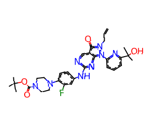 C=CCn1c(=O)c2cnc(Nc3ccc(N4CCN(C(=O)OC(C)(C)C)CC4)c(F)c3)nc2n1-c1cccc(C(C)(C)O)n1